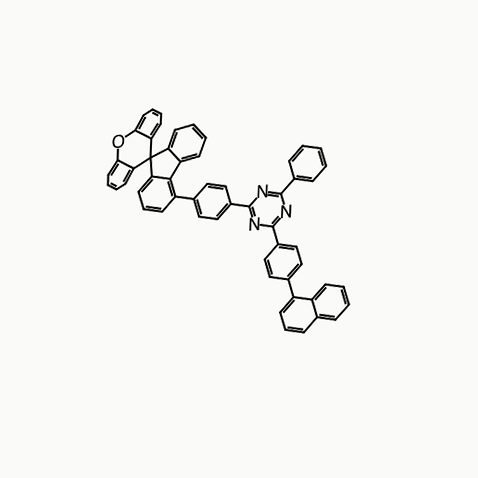 c1ccc(-c2nc(-c3ccc(-c4cccc5c4-c4ccccc4C54c5ccccc5Oc5ccccc54)cc3)nc(-c3ccc(-c4cccc5ccccc45)cc3)n2)cc1